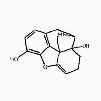 Oc1ccc2c3c1OC1=CCCC4(O)C(C2)NCCC134